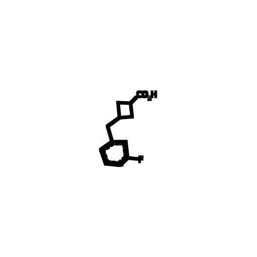 O=C(O)C1CC(Cc2cc[c]c(F)c2)C1